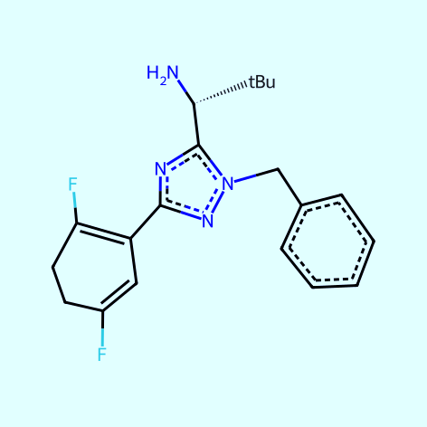 CC(C)(C)[C@@H](N)c1nc(C2=C(F)CCC(F)=C2)nn1Cc1ccccc1